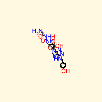 NCC(=O)NC(=O)NC[C@H]1O[C@@H](n2cnc3c(NCc4ccc(O)cc4)ncnc32)[C@H](O)[C@@H]1O